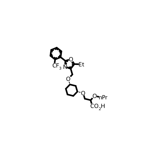 CCCOC(CO[C@@H]1CCC[C@H](OCc2nc(-c3ccccc3C(F)(F)F)oc2CC)C1)C(=O)O